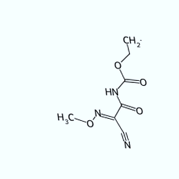 [CH2]COC(=O)NC(=O)C(C#N)=NOC